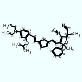 [C-]#[N+]C1=C(/C=C/c2ccc(/C=C/c3ccc(N(CC)CC)cc3OC(C)C)s2)C(C)(c2ccccc2)O/C1=C(\C)C#N